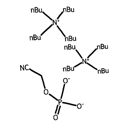 CCCC[N+](CCCC)(CCCC)CCCC.CCCC[N+](CCCC)(CCCC)CCCC.N#CCOP(=O)([O-])[O-]